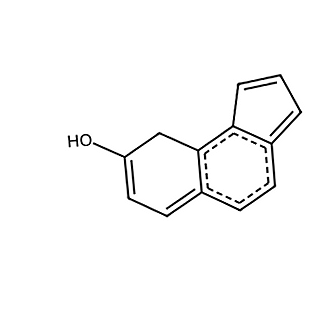 OC1=CC=c2ccc3c(c2C1)C=CC=3